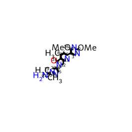 COc1ncc(-c2cc(C)c3c(n2)CN(c2cnn(C(C)(C)N)c2)C3=O)c(OC)n1